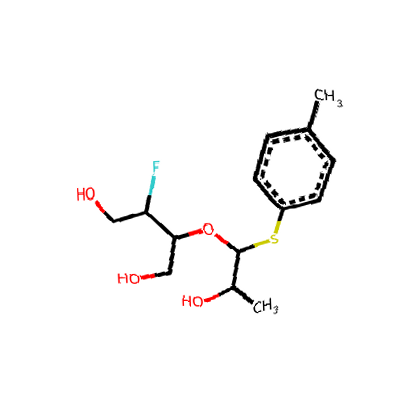 Cc1ccc(SC(OC(CO)C(F)CO)C(C)O)cc1